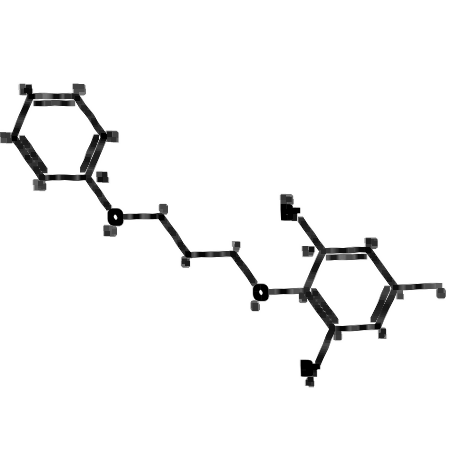 Cc1cc(Br)c(OCCCOc2ccccc2)c(Br)c1